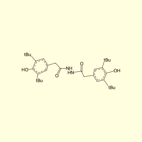 CC(C)(C)c1cc(CC(=O)NNC(=O)Cc2cc(C(C)(C)C)c(O)c(C(C)(C)C)c2)cc(C(C)(C)C)c1O